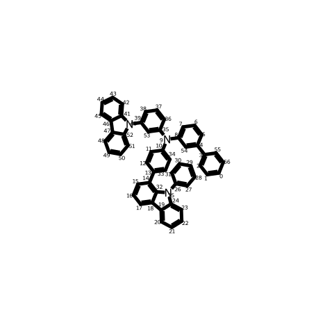 c1ccc(-c2cccc(N(c3ccc(-c4cccc5c6ccccc6n(-c6ccccc6)c45)cc3)c3cccc(-n4c5ccccc5c5ccccc54)c3)c2)cc1